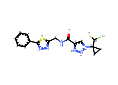 O=C(NCc1nnc(-c2ccccc2)s1)c1cn(C2(C(F)F)CC2)nn1